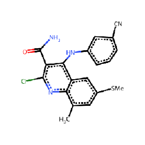 CSc1cc(C)c2nc(Cl)c(C(N)=O)c(Nc3cccc(C#N)c3)c2c1